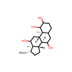 CCCC(C)[C@H]1CC[C@H]2[C@@H]3C(O)CC4CCC(O)C(O)[C@]4(C)[C@H]3CC(O)[C@]12C